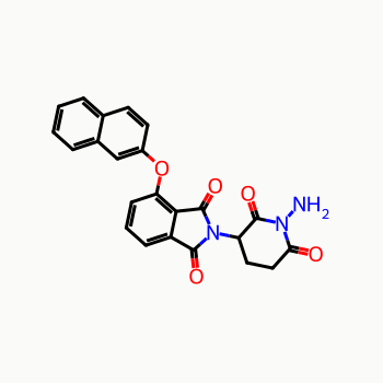 NN1C(=O)CCC(N2C(=O)c3cccc(Oc4ccc5ccccc5c4)c3C2=O)C1=O